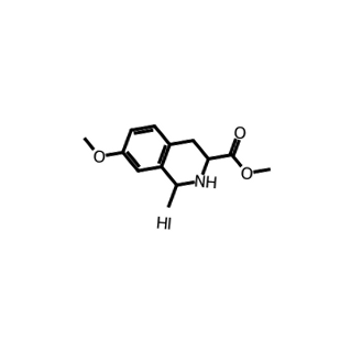 COC(=O)C1Cc2ccc(OC)cc2C(C)N1.I